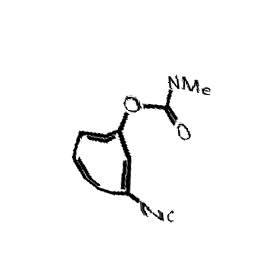 [C-]#[N+]c1cccc(OC(=O)NC)c1